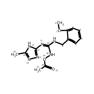 COc1ccccc1CNC(=Nc1nnc(C)[nH]1)NOC(C)=O